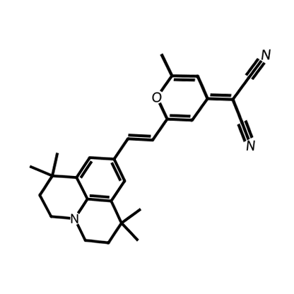 CC1=CC(=C(C#N)C#N)C=C(C=Cc2cc3c4c(c2)C(C)(C)CCN4CCC3(C)C)O1